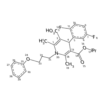 CC1=C(C(=O)O)C(c2cc(F)ccc2F)C(C(=O)OC(C)C)=C(C)N1CCCOc1ccccc1